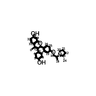 CC1=C(c2ccc(O)cc2)C(c2ccc(OCC(C)N3CCC[C@@H]3C)cc2)Oc2cc(O)ccc21